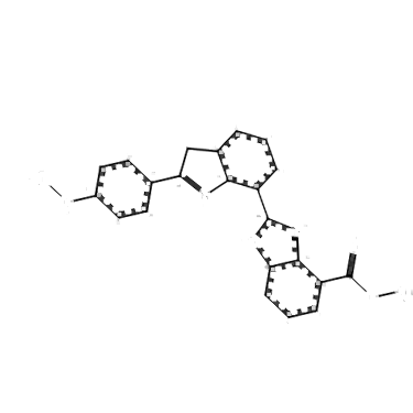 COC(=O)c1cccc2oc(-c3cccc4c3N=C(c3ccc(OC)cc3)C4)nc12